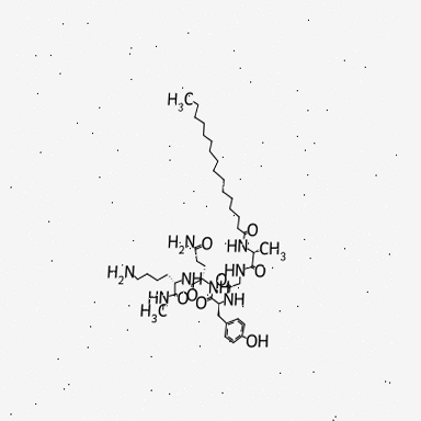 CCCCCCCCCCCCCCCC(=O)N[C@@H](C)C(=O)NCC(=O)N[C@@H](Cc1ccc(O)cc1)C(=O)N[C@@H](CCC(N)=O)C(=O)N[C@@H](CCCCN)C(=O)NC